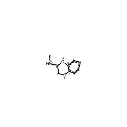 CNC1COc2ccccc2O1